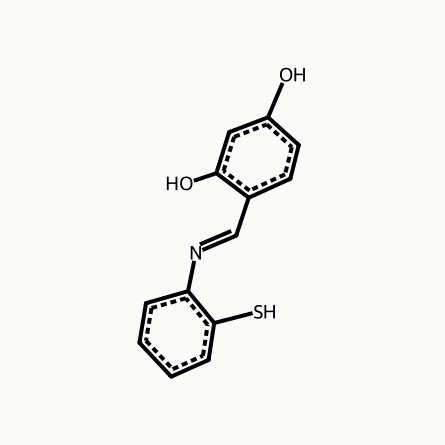 Oc1ccc(C=Nc2ccccc2S)c(O)c1